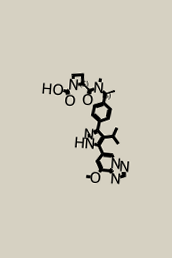 COc1cc(-c2[nH]nc(-c3ccc([C@H](C)N(C)C(=O)[C@@H]4CCN4C(=O)O)cc3)c2C(C)C)cn2ncnc12